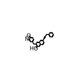 Oc1cc2ccc(C#CCc3ccccc3)cc2cc1Cc1ccc2ocnc2c1